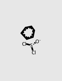 [O-][S+](Cl)Cl.c1ccccc1